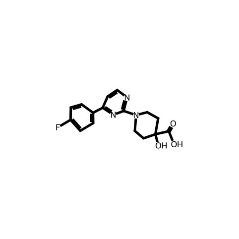 O=C(O)C1(O)CCN(c2nccc(-c3ccc(F)cc3)n2)CC1